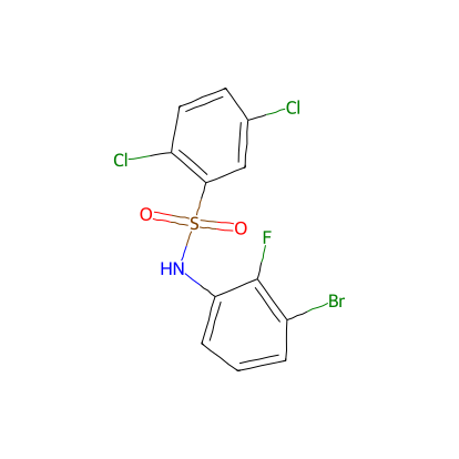 O=S(=O)(Nc1cccc(Br)c1F)c1cc(Cl)ccc1Cl